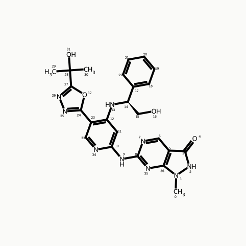 Cn1[nH]c(=O)c2cnc(Nc3cc(N[C@H](CO)c4ccccc4)c(-c4nnc(C(C)(C)O)o4)cn3)nc21